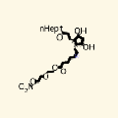 CCCCCCCC(=O)CC[C@@H]1[C@@H](C/C=C\CCCC(=O)OCCOCCO[N+](=O)[O-])[C@@H](O)C[C@H]1O